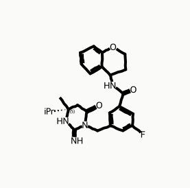 CC(C)[C@]1(C)CC(=O)N(Cc2cc(F)cc(C(=O)NC3CCOc4ccccc43)c2)C(=N)N1